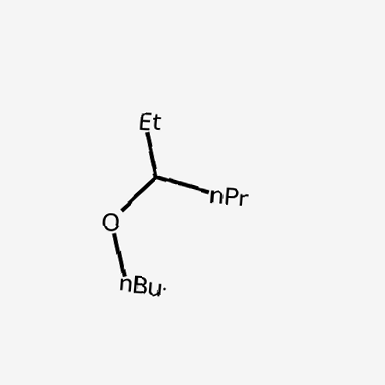 CCC[CH]OC(CC)CCC